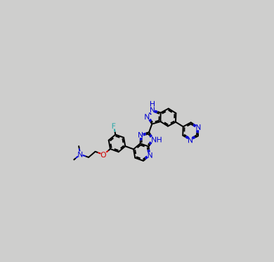 CN(C)CCOc1cc(F)cc(-c2ccnc3[nH]c(-c4n[nH]c5ccc(-c6cncnc6)cc45)nc23)c1